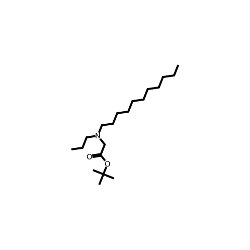 CCCCCCCCCCCN(CCC)CC(=O)OC(C)(C)C